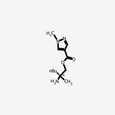 CCCC[C@@](C)(N)COC(=O)c1cnn(C)c1